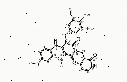 COc1ccc(Nc2nc(=O)n(Cc3ccc[nH]c3=O)c(=O)n2Cc2cc(F)c(F)c(F)c2)c(OC)c1